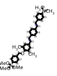 CO[Si](OC)(OC)c1ccc(COc2c(C)cc(/C=C/c3ccc(/C=C/c4ccc(N(C)C)cc4)cc3)cc2C)cc1